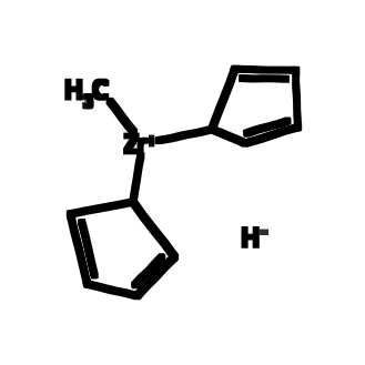 [CH3][Zr+]([CH]1C=CC=C1)[CH]1C=CC=C1.[H-]